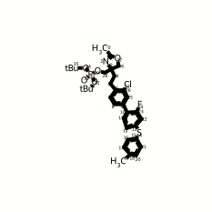 CC1=NC(CCc2ccc(-c3ccc(Sc4ccc(C)cc4)cc3F)cc2Cl)(COP(=O)(OC(C)(C)C)OC(C)(C)C)CO1